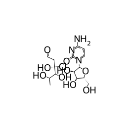 CC(O)C(O)[C@](O)(Cl)CC=O.Nc1ccn([C@@H]2O[C@H](CO)[C@@H](O)[C@H]2O)c(=O)n1